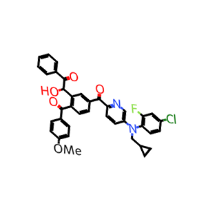 COc1ccc(C(=O)c2ccc(C(=O)c3ccc(N(CC4CC4)c4ccc(Cl)cc4F)cn3)cc2C(O)C(=O)c2ccccc2)cc1